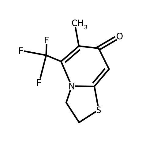 Cc1c(C(F)(F)F)n2c(cc1=O)SCC2